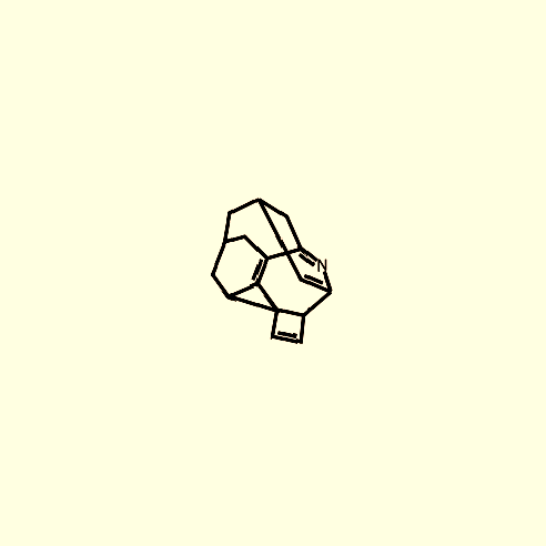 C1=CC23C4=C5CC(CC6C=C(N=C5C6)C12)CC43